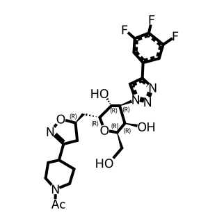 CC(=O)N1CCC(C2=NO[C@@H](C[C@H]3O[C@H](CO)[C@H](O)[C@H](n4cc(-c5cc(F)c(F)c(F)c5)nn4)[C@H]3O)C2)CC1